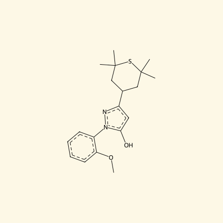 COc1ccccc1-n1nc(C2CC(C)(C)SC(C)(C)C2)cc1O